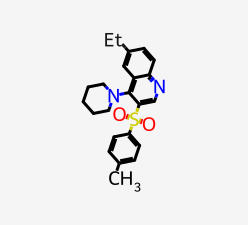 CCc1ccc2ncc(S(=O)(=O)c3ccc(C)cc3)c(N3CCCCC3)c2c1